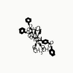 COCCN(CCOC)c1nc(C(=O)N[C@H](CC(=O)OCc2ccccc2)C(=O)OCc2ccccc2)c(N2CCOCC2)nc1-c1ccc(C(=O)OCc2ccccc2)cc1